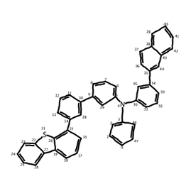 c1ccc(N(c2cccc(-c3cccc(-c4cccc5c4sc4ccccc45)c3)c2)c2cccc(-c3ccc4ccccc4c3)c2)cc1